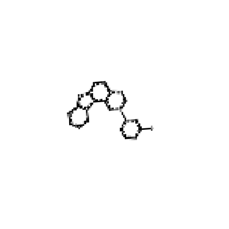 Brc1cccc(-c2ccc3ccc4sc5ccccc5c4c3c2)c1